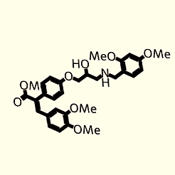 COC(=O)C(=Cc1ccc(OC)c(OC)c1)c1ccc(OCC(O)CNCc2ccc(OC)cc2OC)cc1